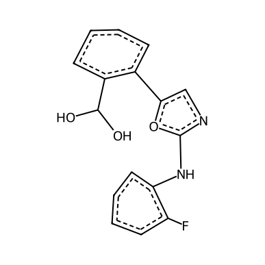 OC(O)c1ccccc1-c1cnc(Nc2ccccc2F)o1